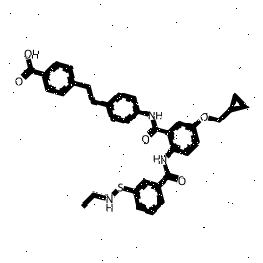 CCNSc1cccc(C(=O)Nc2ccc(OCC3CC3)cc2C(=O)Nc2ccc(CCc3ccc(C(=O)O)cc3)cc2)c1